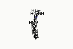 CC(O)C(O)C(O)/C=N/OCC(=O)Nc1ccc(-c2nnc(-c3ccccn3)nn2)nc1